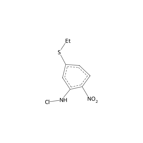 CCSc1ccc([N+](=O)[O-])c(NCl)c1